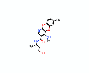 CC(C)Nc1c(C(=O)N[C@H](C)CCO)cnc2c1Oc1cc(C#N)ccc1O2